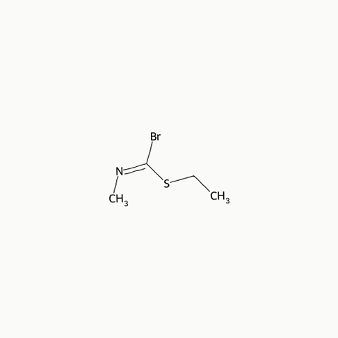 CCS/C(Br)=N\C